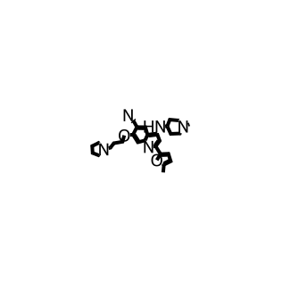 Cc1ccc(-c2cc(NC3CCN(C)CC3)c3cc(C#N)c(OCCCN4CCCC4)cc3n2)o1